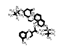 CCC(Oc1cccc(C)c1)C(=O)O[C@H]1C[C@H](O[Si](C)(C)C(C)(C)C)C=C2C=C[C@H](C)[C@H](CC[C@@H]3C[C@@H](O[Si](C)(C)C(C)(C)C)CC(=O)O3)[C@H]21